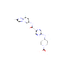 Cc1cn2cc(NC(=O)c3cnc(NC4CCN(C(=O)O)C[C@H]4F)cn3)cc(F)c2n1